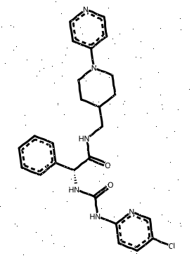 O=C(Nc1ccc(Cl)cn1)N[C@@H](C(=O)NCC1CCN(c2ccncc2)CC1)c1ccccc1